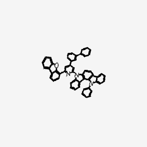 c1ccc(-c2cccc(-c3cc(-c4cccc5c4oc4ccccc45)nc(-n4c5ccccc5c5c4ccc4c6ccccc6n(-c6ccccc6)c45)c3)c2)cc1